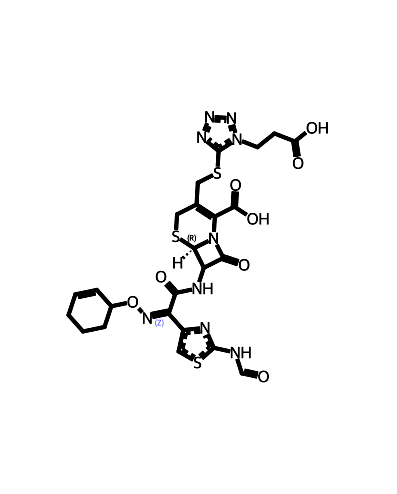 O=CNc1nc(/C(=N/OC2C=CCCC2)C(=O)NC2C(=O)N3C(C(=O)O)=C(CSc4nnnn4CCC(=O)O)CS[C@H]23)cs1